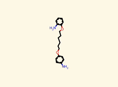 Nc1ccc(OCCCCCCOc2ccccc2N)cc1